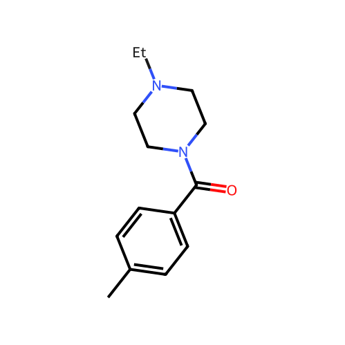 CCN1CCN(C(=O)c2ccc(C)cc2)CC1